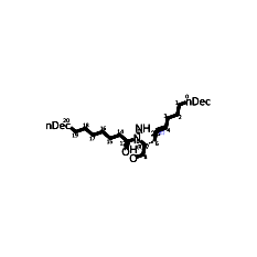 CCCCCCCCCCCCC/C=C/C[C@H](CO)N(N)C(=O)CCCCCCCCCCCCCCCC